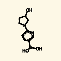 OB(O)c1ccc(N2CCC(O)C2)nc1